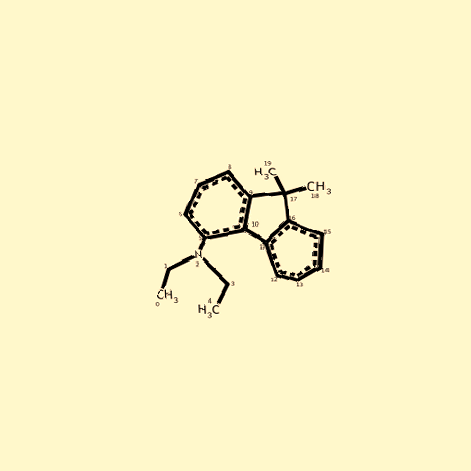 CCN(CC)c1cccc2c1-c1ccccc1C2(C)C